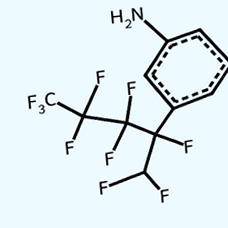 Nc1cccc(C(F)(C(F)F)C(F)(F)C(F)(F)C(F)(F)F)c1